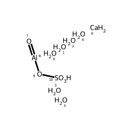 O.O.O.O.O.O.[CaH2].[O]=[Al][O]S(=O)(=O)O